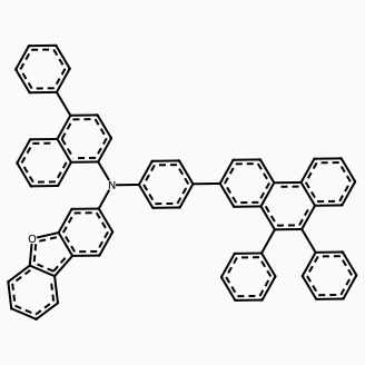 c1ccc(-c2ccc(N(c3ccc(-c4ccc5c(c4)c(-c4ccccc4)c(-c4ccccc4)c4ccccc45)cc3)c3ccc4c(c3)oc3ccccc34)c3ccccc23)cc1